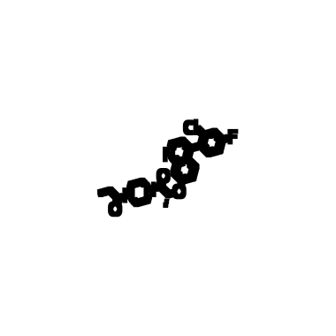 CCC(=O)N1CCN(C(=O)[C@@H](C)Oc2ccc3c(-c4ccc(F)cc4Cl)ccnc3c2)CC1